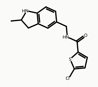 CC1Cc2cc(CNC(=O)c3ccc(Cl)s3)ccc2N1